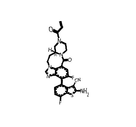 C=CC(=O)N1CCN2C(=O)c3cc(F)c(-c4ccc(F)c5sc(N)c(C#N)c45)c4ncn(c34)CC[C@@H]2C1